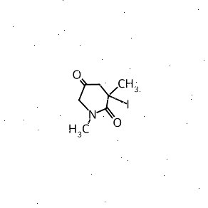 CN1CC(=O)CC(C)(I)C1=O